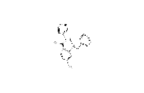 [CH2]c1ccc(N(Cl)Cc2ccccc2)c(N(Cl)Cc2ccccc2)c1